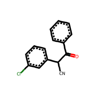 N#CC(C(=O)c1ccccc1)c1cccc(Cl)c1